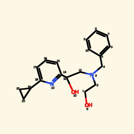 OCCN(Cc1ccccc1)CC(O)c1cccc(C2CC2)n1